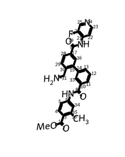 COC(=O)c1ccc(NC(=O)c2cccc(-c3cc(C(=O)Nc4ccncc4F)ccc3CN)c2)cc1C